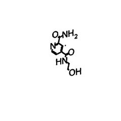 NC(=O)c1[c]c(C(=O)NCCO)ccn1